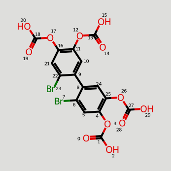 O=C(O)Oc1cc(Br)c(-c2cc(OC(=O)O)c(OC(=O)O)cc2Br)cc1OC(=O)O